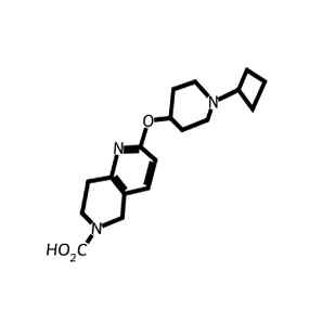 O=C(O)N1CCc2nc(OC3CCN(C4CCC4)CC3)ccc2C1